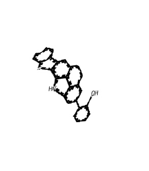 Oc1ccccc1-c1cc2ccc3cc4c5ccccc5sc4c4[nH]c(c1)c2c34